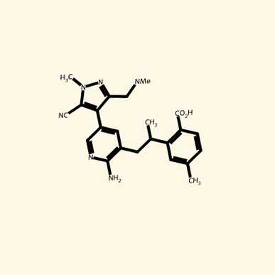 CNCc1nn(C)c(C#N)c1-c1cnc(N)c(CC(C)c2cc(C)ccc2C(=O)O)c1